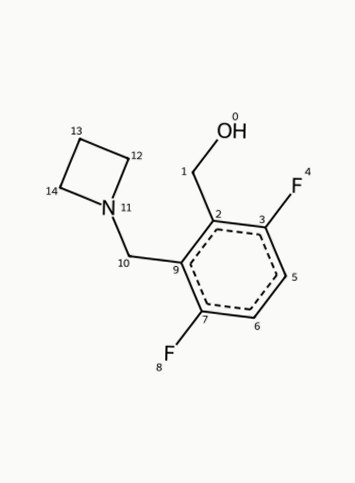 OCc1c(F)ccc(F)c1CN1CCC1